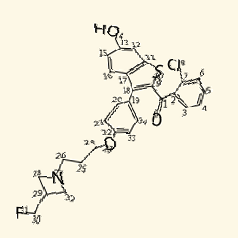 O=C(c1ccccc1Cl)c1sc2cc(O)ccc2c1-c1ccc(OCCCN2CC(CF)C2)cc1